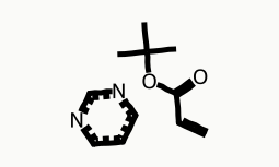 C=CC(=O)OC(C)(C)C.c1cncnc1